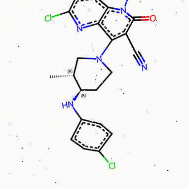 C[C@@H]1CN(c2c(C#N)c(=O)n(C)c3ccc(Cl)nc23)CC[C@H]1Nc1ccc(Cl)cc1